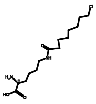 N[C@@H](CCCCNC(=O)CCCCCCCCl)C(=O)O